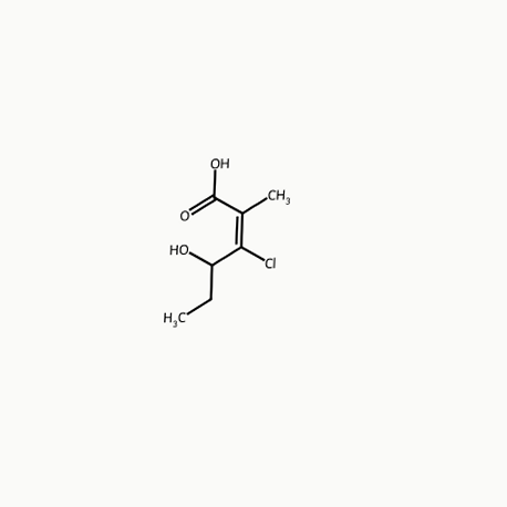 CCC(O)/C(Cl)=C(/C)C(=O)O